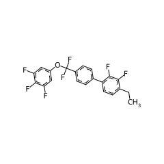 CCc1ccc(-c2ccc(C(F)(F)Oc3cc(F)c(F)c(F)c3)cc2)c(F)c1F